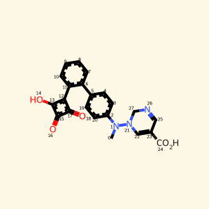 CN(c1ccc(-c2ccccc2-c2c(O)c(=O)c2=O)cc1)N1C=C(C(=O)O)C=NC1